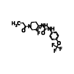 CCC(=O)N1CC[C@@H](NC(=O)Nc2ccc(OC(F)(F)F)cc2)[C@@H](F)C1